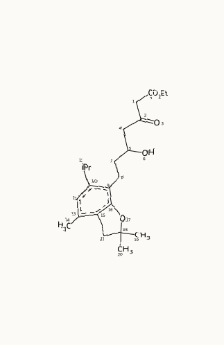 CCOC(=O)CC(=O)CC(O)CCc1c(C(C)C)cc(C)c2c1OC(C)(C)C2